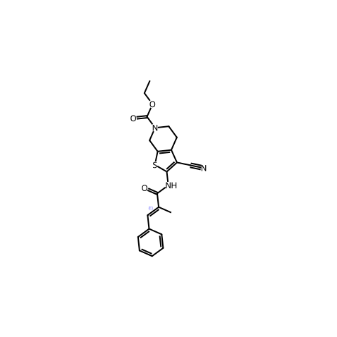 CCOC(=O)N1CCc2c(sc(NC(=O)/C(C)=C/c3ccccc3)c2C#N)C1